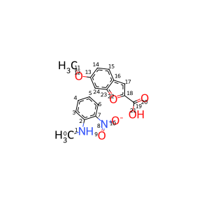 CNc1ccccc1[N+](=O)[O-].COc1ccc2cc(C(=O)O)oc2c1